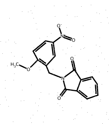 COc1ccc([N+](=O)[O-])cc1CN1C(=O)c2ccccc2C1=O